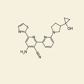 N#Cc1c(N)cc(-c2nccs2)nc1-c1cccc(N2CCC(C3(O)CC3)C2)n1